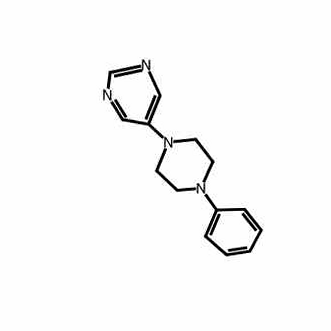 c1ccc(N2CCN(c3cncnc3)CC2)cc1